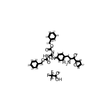 N[C@@H](Cc1ccc(NC(=NC(=O)OCc2ccccc2)NC(=O)OCc2ccccc2)cc1)C(=O)c1ccco1.O=C(O)C(F)(F)F